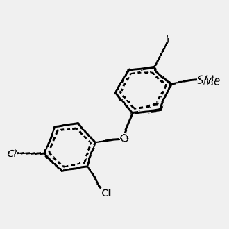 CSc1cc(Oc2ccc(Cl)cc2Cl)ccc1I